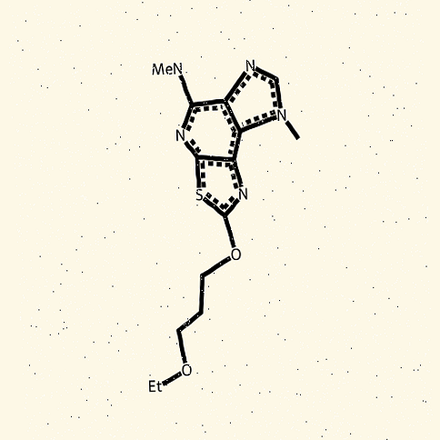 CCOCCCOc1nc2c(nc(NC)c3ncn(C)c32)s1